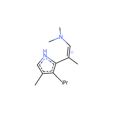 C/C(=C/N(C)C)c1[nH]cc(C)c1C(C)C